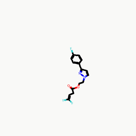 O=C(CC=C(F)F)OCCn1ccc(-c2ccc(F)cc2)n1